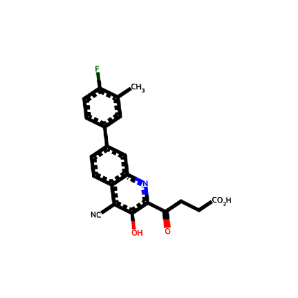 Cc1cc(-c2ccc3c(C#N)c(O)c(C(=O)CCC(=O)O)nc3c2)ccc1F